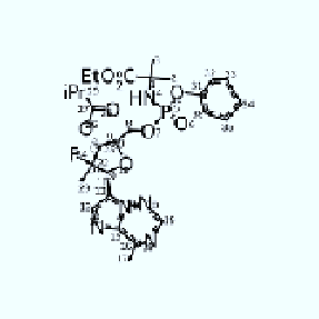 CCOC(=O)C(C)(C)NP(=O)(OC[C@H]1O[C@@H](c2cnc3c(C)ncnn23)[C@](C)(F)[C@@H]1OC(=O)C(C)C)Oc1ccccc1